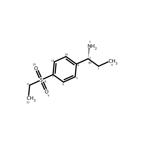 CC[C@@H](N)c1ccc(S(=O)(=O)CC)cc1